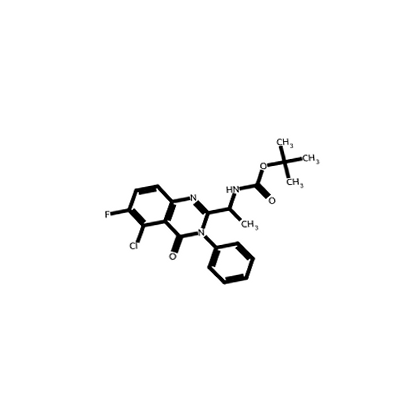 CC(NC(=O)OC(C)(C)C)c1nc2ccc(F)c(Cl)c2c(=O)n1-c1ccccc1